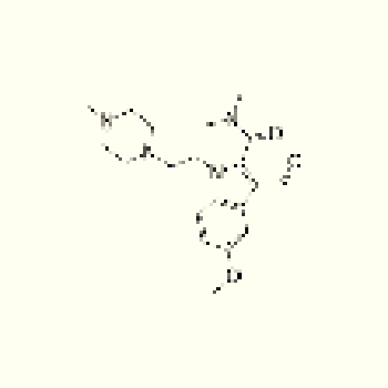 COc1ccc2c(c1)c(C=O)c(C(=O)N(C)C)n2CCN1CCN(C)CC1